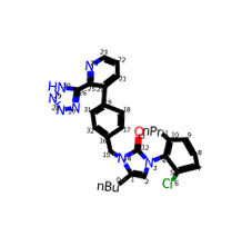 CCCCc1cn(-c2c(Cl)cccc2CCC)c(=O)n1Cc1ccc(-c2cccnc2-c2nnn[nH]2)cc1